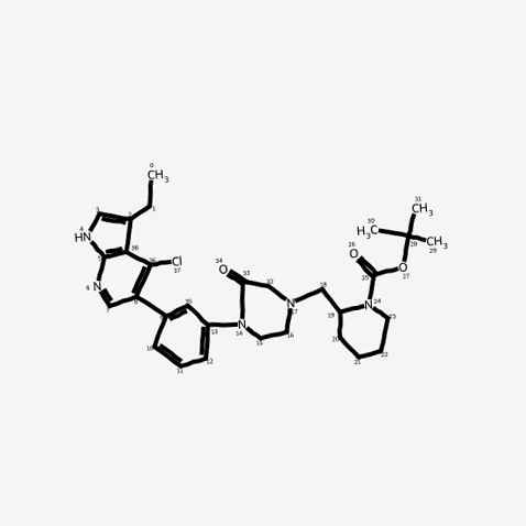 CCc1c[nH]c2ncc(-c3cccc(N4CCN(CC5CCCCN5C(=O)OC(C)(C)C)CC4=O)c3)c(Cl)c12